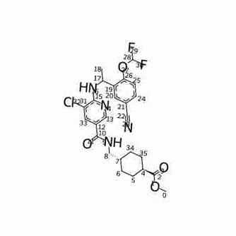 COC(=O)[C@H]1CC[C@H](CNC(=O)c2cnc(NC(C)c3cc(C#N)ccc3OC(F)F)c(Cl)c2)CC1